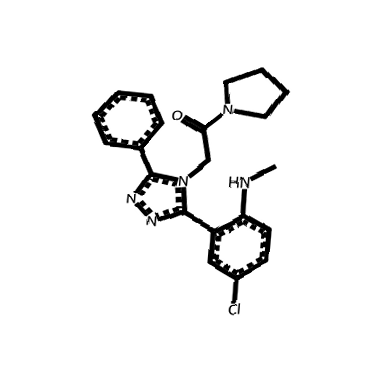 CNc1ccc(Cl)cc1-c1nnc(-c2ccccc2)n1CC(=O)N1CCCC1